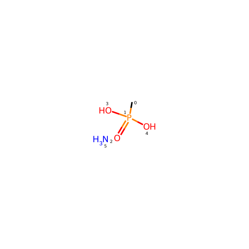 CP(=O)(O)O.N